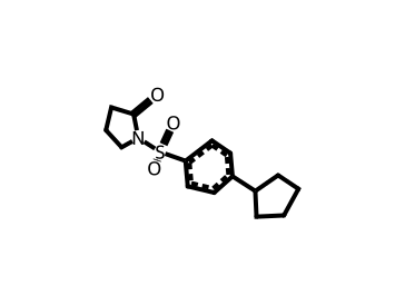 O=C1CCCN1S(=O)(=O)c1ccc(C2CCCC2)cc1